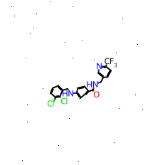 O=C(NCc1ccc(C(F)(F)F)nc1)c1ccc(NCc2cccc(Cl)c2Cl)cc1